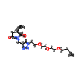 CC(C)(C)CCOCCOCCOCCn1cc(CN2C(=O)CC(C(C)(C)C)C2=O)nn1